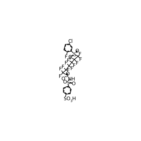 O=S(=O)(O)c1ccc(S(=O)(=O)NS(=O)(=O)C(F)(F)C(F)(F)C(F)(F)C(F)(F)C(F)(F)C(F)(F)S(=O)(=O)c2cc(Cl)ccc2F)cc1